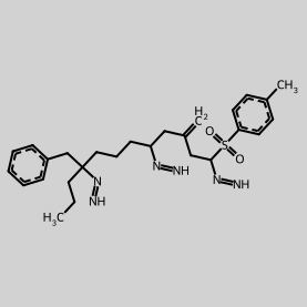 C=C(CC(CCCC(CCC)(Cc1ccccc1)N=N)N=N)CC(N=N)S(=O)(=O)c1ccc(C)cc1